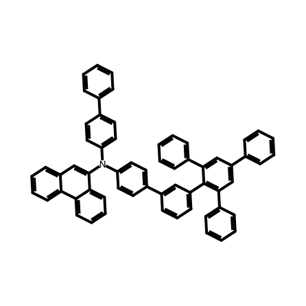 c1ccc(-c2ccc(N(c3ccc(-c4cccc(-c5c(-c6ccccc6)cc(-c6ccccc6)cc5-c5ccccc5)c4)cc3)c3cc4ccccc4c4ccccc34)cc2)cc1